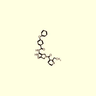 CCc1ncccc1C(=O)N1Cc2n[nH]c(NC(=O)c3ccc(Oc4ccccc4)cc3)c2C1